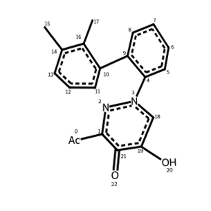 CC(=O)c1nn(-c2ccccc2-c2cccc(C)c2C)cc(O)c1=O